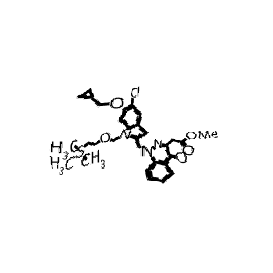 COC(=O)Cc1nn(Cc2cc3cc(Cl)c(OCC4CC4)cc3n2COCCS(C)(C)C)c2ccccc2c1=O